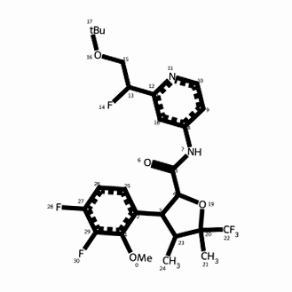 COc1c(C2C(C(=O)Nc3ccnc(C(F)COC(C)(C)C)c3)OC(C)(C(F)(F)F)C2C)ccc(F)c1F